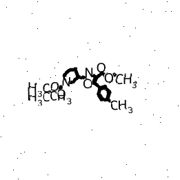 CCOC(=O)c1nc(C2CCCN(C(=O)OC(C)(C)C)C2)oc1-c1ccc(C)cc1